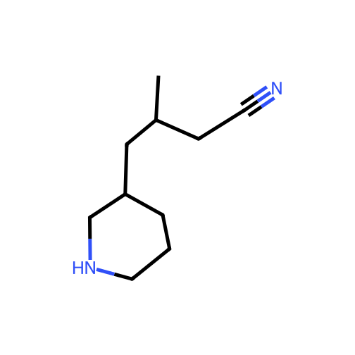 CC(CC#N)CC1CCCNC1